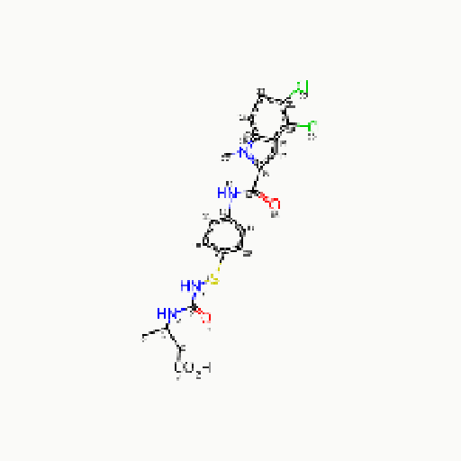 CC(CC(=O)O)NC(=O)NSc1ccc(NC(=O)c2cc3c(Cl)c(Cl)ccc3n2C)cc1